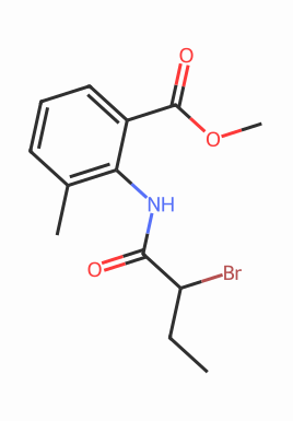 CCC(Br)C(=O)Nc1c(C)cccc1C(=O)OC